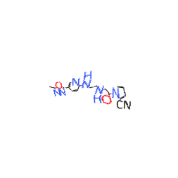 Cc1nnc(-c2ccc(NCCNCC(=O)N3CCCC3C#N)nc2)o1